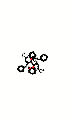 COC1=NC(C)(OC)C(c2c(P(c3ccccc3)c3ccccc3)cc(OC)nc2OC)C(P(c2ccccc2)c2ccccc2)=C1